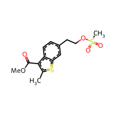 COC(=O)c1c(C)sc2cc(CCOS(C)(=O)=O)ccc12